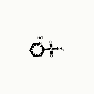 Cl.NS(=O)(=O)c1ccccn1